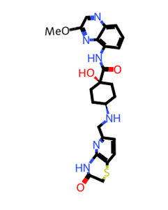 COc1cnc2cccc(NC(=O)[C@]3(O)CC[C@@H](NCc4ccc5c(n4)NC(=O)CS5)CC3)c2n1